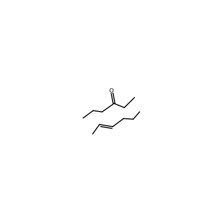 CC=CCCC.CCCC(=O)CC